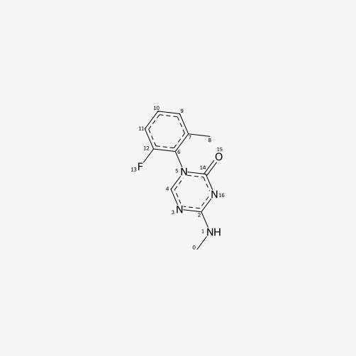 CNc1ncn(-c2c(C)cccc2F)c(=O)n1